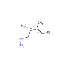 CC/C=C(\C)[C@@H](C)CNN